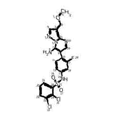 COCc1cnn2c(N)c(-c3ccc(NS(=O)(=O)c4cccc(Cl)c4Cl)cc3F)cnc12